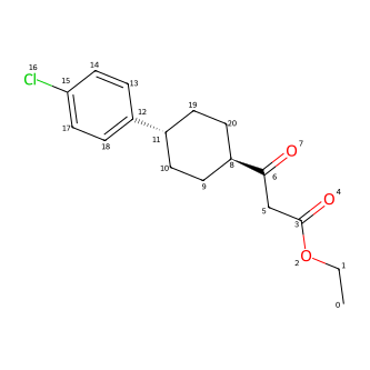 CCOC(=O)CC(=O)[C@H]1CC[C@H](c2ccc(Cl)cc2)CC1